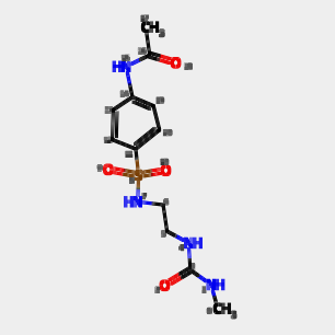 CNC(=O)NCCNS(=O)(=O)c1ccc(NC(C)=O)cc1